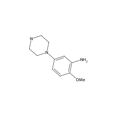 COc1ccc(N2CC[N]CC2)cc1N